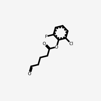 O=CCCCC(=O)Oc1c(F)cccc1Cl